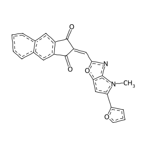 Cn1c(-c2ccco2)cc2oc(C=C3C(=O)c4cc5ccccc5cc4C3=O)nc21